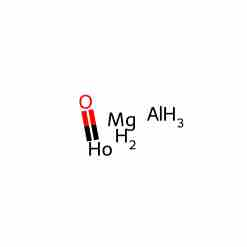 [AlH3].[MgH2].[O]=[Ho]